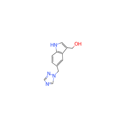 OCc1c[nH]c2ccc(Cn3cncn3)cc12